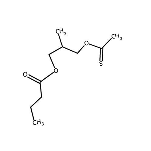 CCCC(=O)OCC(C)COC(C)=S